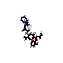 C=C(C)C1=CC(C)=C(/C(=C/C(C)=C\C)Cc2ccccc2C)C(C)C=C1/N=C(\C)C1CC1CC(CC)CN1C2CCCC1CC2